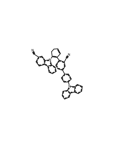 N#Cc1ccc2c3ccccc3n(C3=C(c4ccc(-c5ccc(-n6c7ccccc7c7ccccc76)cc5)cc4C#N)C=CCC3)c2c1